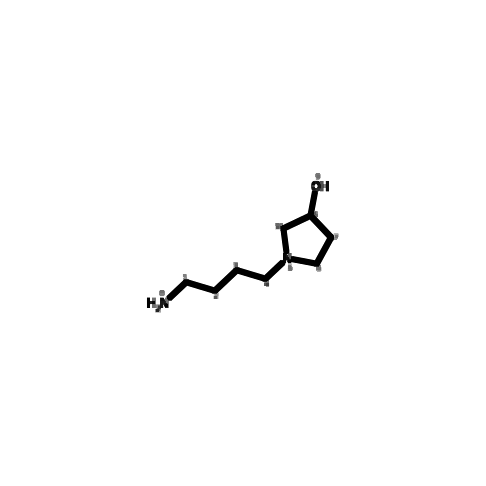 NCCCCN1CCC(O)C1